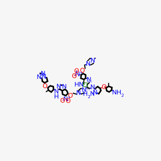 Cc1cc(N)ccc1Oc1ccn(N)/c(=N\C=C(/C/C=N\c2cc(OCCN3CCN(C)CC3)c([N+](=O)[O-])cc2C(=N)Cl)N2CCN(CCOc3cc4ncnc(Nc5ccc(Oc6ccn7ncnc7c6)c(C)c5)c4cc3[N+](=O)[O-])CC2)c1